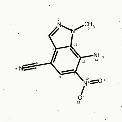 Cn1ncc2c(C#N)cc([N+](=O)[O-])c(N)c21